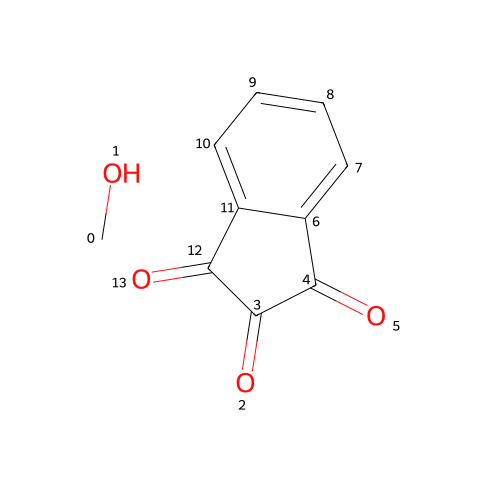 CO.O=c1c(=O)c2ccccc2c1=O